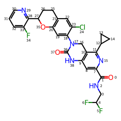 O=C(NCC(F)F)c1cc2c(c(C3CC3)n1)CN(c1cc3c(cc1Cl)CCC(c1ncccc1F)O3)C(=O)N2